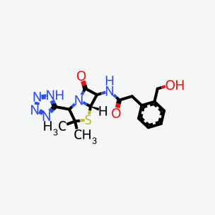 CC1(C)S[C@H]2C(NC(=O)Cc3ccccc3CO)C(=O)N2C1c1nnn[nH]1